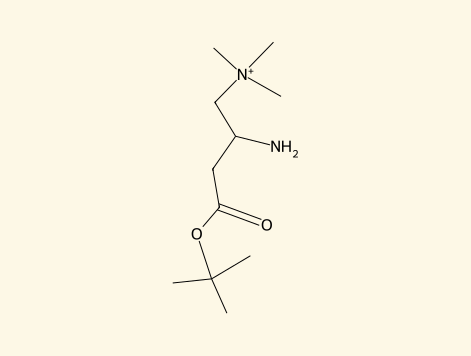 CC(C)(C)OC(=O)CC(N)C[N+](C)(C)C